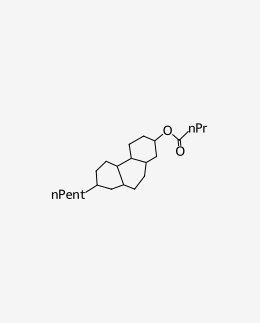 CCCCCC1CCC2C(CCC3CC(OC(=O)CCC)CCC32)C1